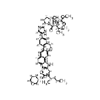 CCC[C@H](C)N(Cc1nc2ccc3cc4c(cc3c2[nH]1)OCc1cc(-c2cnc([C@@H]3CC[C@H](C)N3C(=O)C(NC(=O)OC)C(C)C)[nH]2)ccc1-4)C(=O)C[C@H]1CCCOC1